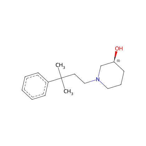 CC(C)(CCN1CCC[C@H](O)C1)c1ccccc1